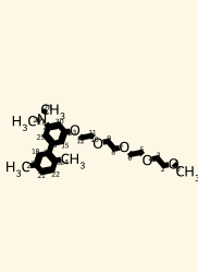 COCCOCCOCCOCCOc1cc(-c2cc(C)ccc2C)cc(N(C)C)c1